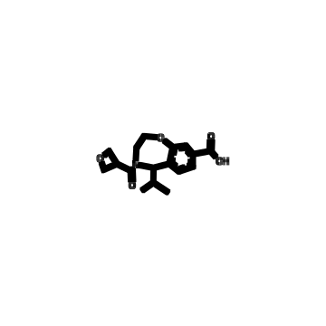 CC(C)C1c2ccc(C(=O)O)cc2OCCN1C(=O)C1COC1